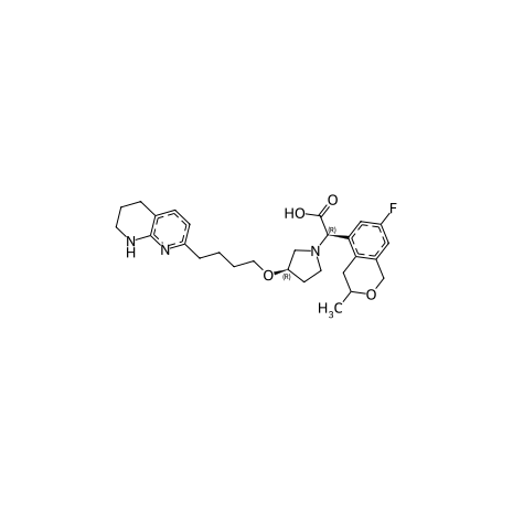 CC1Cc2c(cc(F)cc2[C@H](C(=O)O)N2CC[C@@H](OCCCCc3ccc4c(n3)NCCC4)C2)CO1